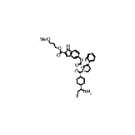 COCCCOC(=O)c1cc2cc(NC(=O)[C@@H]3[C@@H](c4ccccc4)CCN3C(=O)[C@H]3CC[C@H](C(N)CF)CC3)ccc2[nH]1